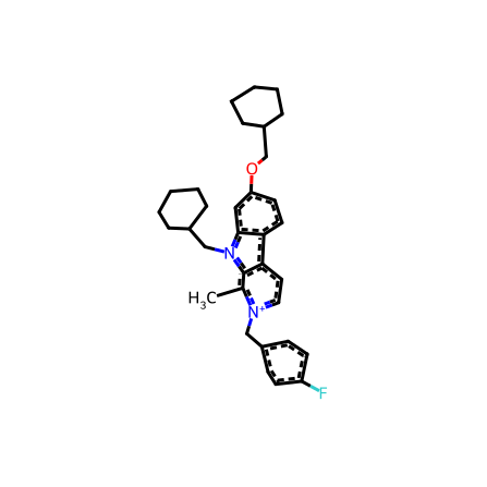 Cc1c2c(cc[n+]1Cc1ccc(F)cc1)c1ccc(OCC3CCCCC3)cc1n2CC1CCCCC1